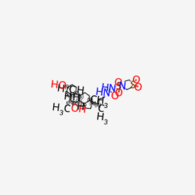 CC[C@H]1[C@@H](O)[C@@H]2[C@H](CC[C@]3(C)[C@@H]([C@H](C)CCNC(=O)NS(=O)(=O)N4CCS(=O)(=O)CC4)CC[C@@H]23)[C@@]2(C)CC[C@@H](O)C[C@@H]12